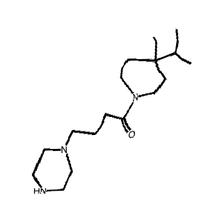 CC(C)C1(C)CCN(C(=O)CCCN2CCNCC2)CC1